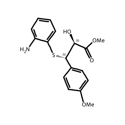 COC(=O)[C@H](O)[C@@H](Sc1ccccc1N)c1ccc(OC)cc1